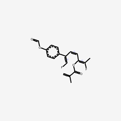 C=C(C)C(=O)OC(/C=C\C(=C\F)c1ccc(OC=O)cc1)=C(/C)F